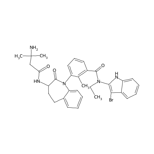 CCN(C(=O)c1cccc(N2C(=O)C(NC(=O)CC(C)(C)N)CCc3ccccc32)c1C)c1[nH]c2ccccc2c1Br